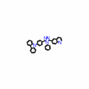 c1ccc(-n2c(-c3ccc(-n4c5ccccc5c5ccccc54)cc3)nnc2-c2ccc3ncccc3c2)cc1